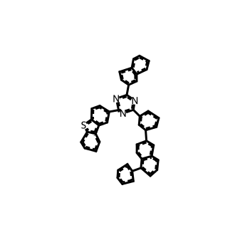 c1ccc(-c2cccc3cc(-c4cccc(-c5nc(-c6ccc7ccccc7c6)nc(-c6ccc7sc8ccccc8c7c6)n5)c4)ccc23)cc1